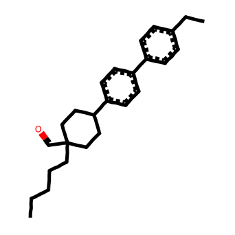 CCCCCC1(C=O)CCC(c2ccc(-c3ccc(CC)cc3)cc2)CC1